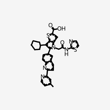 Cc1ccnc(-c2ccc3cc(-c4c(C5CCCCC5)c5sc(C(=O)O)cc5n4CC(=O)Nc4nccs4)ccc3n2)c1